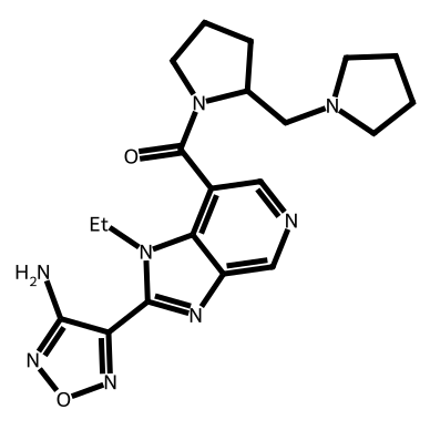 CCn1c(-c2nonc2N)nc2cncc(C(=O)N3CCCC3CN3CCCC3)c21